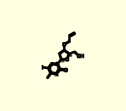 C=CCOC1C[C@H](n2cc(I)c(C)nc2=O)O[C@@H]1CO